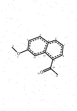 COc1ccc2cccc(C(C)=O)c2c1